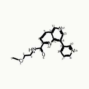 COCCNC(=O)c1ccc2cncc(-c3cccnc3)c2n1